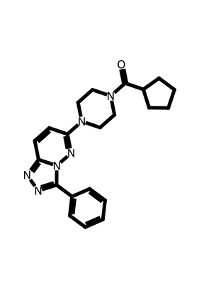 O=C(C1CCCC1)N1CCN(c2ccc3nnc(-c4ccccc4)n3n2)CC1